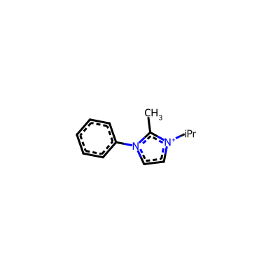 Cc1n(-c2ccccc2)cc[n+]1C(C)C